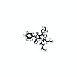 CCCCN(CCCC)C1=C(C(=O)OCC)CN(c2ccccc2)C1=O